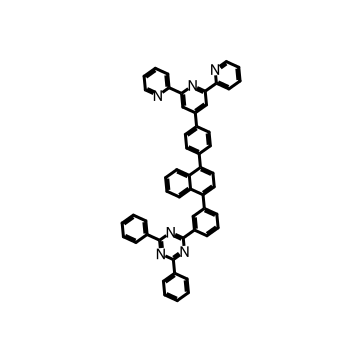 c1ccc(-c2nc(-c3ccccc3)nc(-c3cccc(-c4ccc(-c5ccc(-c6cc(-c7ccccn7)nc(-c7ccccn7)c6)cc5)c5ccccc45)c3)n2)cc1